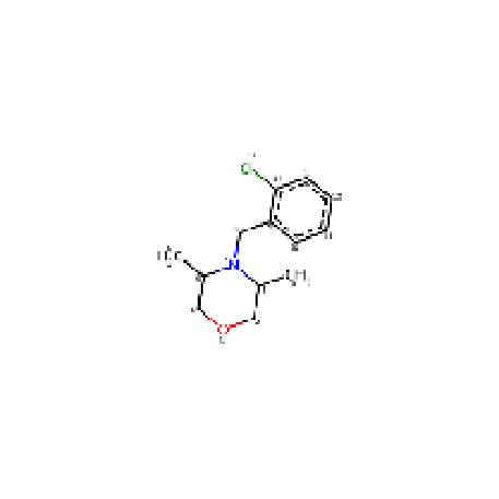 CC1COCC(C)N1Cc1ccccc1Cl